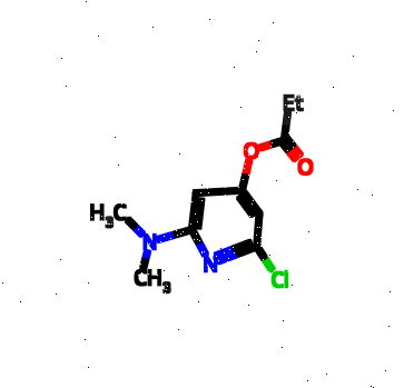 CCC(=O)Oc1cc(Cl)nc(N(C)C)c1